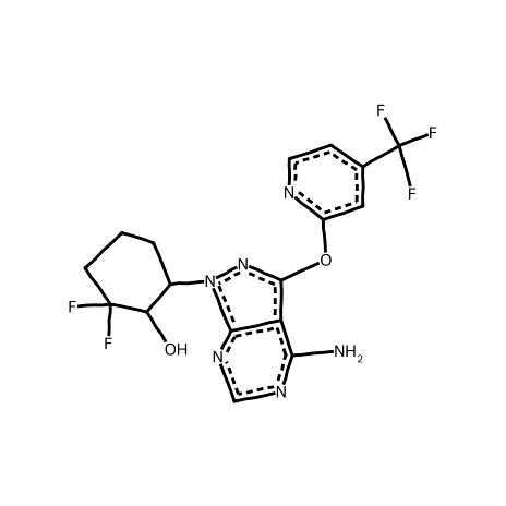 Nc1ncnc2c1c(Oc1cc(C(F)(F)F)ccn1)nn2C1CCCC(F)(F)C1O